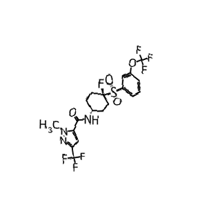 Cn1nc(C(F)(F)F)cc1C(=O)N[C@H]1CC[C@@](F)(S(=O)(=O)c2cccc(OC(F)(F)F)c2)CC1